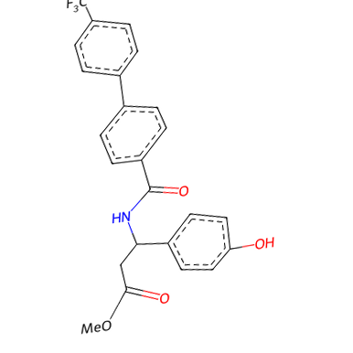 COC(=O)CC(NC(=O)c1ccc(-c2ccc(C(F)(F)F)cc2)cc1)c1ccc(O)cc1